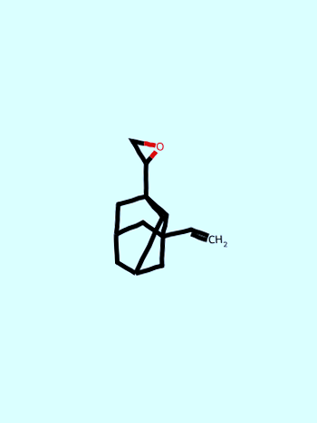 C=CC12CC3CC(C1)CC(C1CO1)(C3)C2